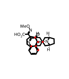 CO/N=C(\C(=O)O)c1nc2ccccc2n([C@H]2C[C@H]3CC[C@@H](C2)N3[C@@H]2C[C@@H]3CCCC[C@@H](C3)C2)c1=O